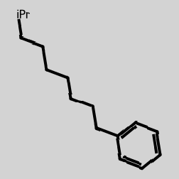 CC(C)CCCCCCCc1ccccc1